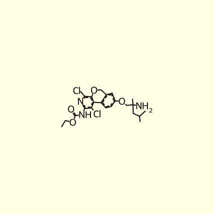 CCOC(=O)Nc1nc(Cl)c2c(c1Cl)-c1ccc(OCC(C)(N)CC(C)C)cc1CO2